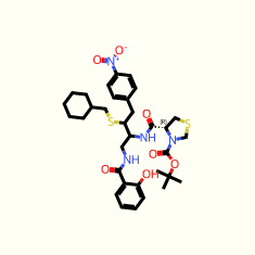 CC(C)(C)OC(=O)N1CSC[C@H]1C(=O)NC(CNC(=O)c1ccccc1O)C(Cc1ccc([N+](=O)[O-])cc1)SCC1CCCCC1